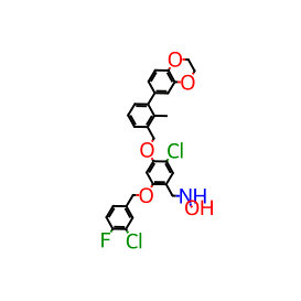 Cc1c(COc2cc(OCc3ccc(F)c(Cl)c3)c(CNO)cc2Cl)cccc1-c1ccc2c(c1)OCCO2